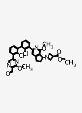 CCOC(=O)C1CN([C@@H]2CCc3cc(-c4cccc(-c5cccc(-c6cnc(C=O)c(OC)n6)c5Cl)c4Cl)nc(OC)c32)C1